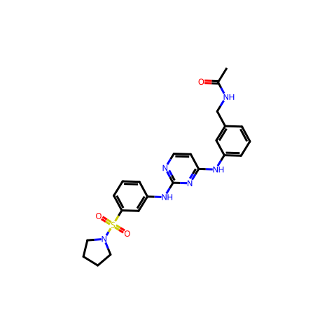 CC(=O)NCc1cccc(Nc2ccnc(Nc3cccc(S(=O)(=O)N4CCCC4)c3)n2)c1